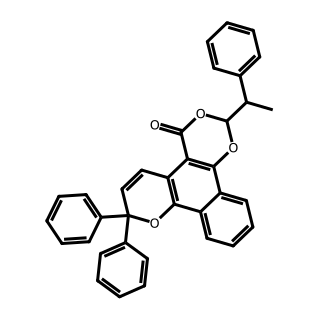 CC(c1ccccc1)C1OC(=O)c2c3c(c4ccccc4c2O1)OC(c1ccccc1)(c1ccccc1)C=C3